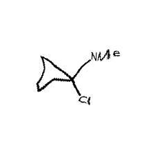 CNC1(Cl)CC1